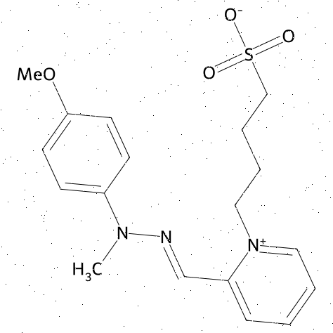 COc1ccc(N(C)/N=C/c2cccc[n+]2CCCCS(=O)(=O)[O-])cc1